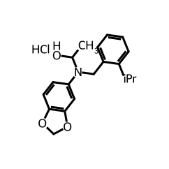 CC(C)c1ccccc1CN(c1ccc2c(c1)OCO2)C(C)O.Cl